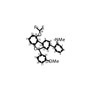 CNc1ccccc1-c1ccc2c(c1)C(c1cccc(OC)c1)Oc1cccc(OC(F)F)c1-2